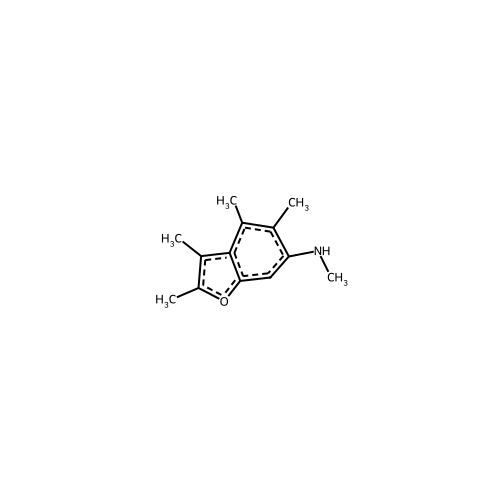 CNc1cc2oc(C)c(C)c2c(C)c1C